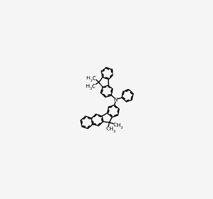 CC1(C)c2ccccc2-c2cc(N(c3ccccc3)c3ccc4c(c3)-c3cc5ccccc5cc3C4(C)C)ccc21